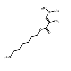 CCCCCCCCCCCCCCCCOC(=O)C(C)=CN(CCCC)CCCC